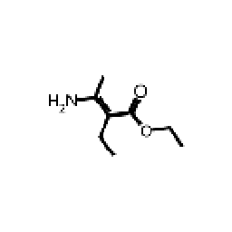 CCOC(=O)/C(CC)=C(\C)N